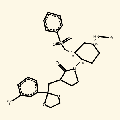 CC(C)N[C@@H]1CC[C@H](N2CCC(CC3(c4cccc(C(F)(F)F)c4)OCCO3)C2=O)[C@H](CS(=O)(=O)c2ccccc2)C1